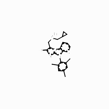 CCCN(Cc1c(CC)nc2n(-c3c(C)cc(C)cc3C)c3ncccc3n12)CC1CC1